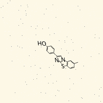 Cc1ccc2sc3nc(-c4ccc(O)cc4)cn3c2c1